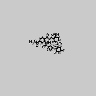 CN(C)c1ccc(C(=O)Nc2n[nH]c3c2CN(S(=O)(=O)c2cc(F)cc(F)c2)CC3)c(NC(=O)[C@@H]2CCCO2)c1